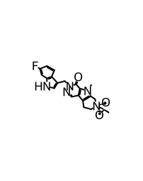 Cn1c2c(c3cnn(Cc4c[nH]c5cc(F)ccc45)c(=O)c31)CCN(S(C)(=O)=O)C2